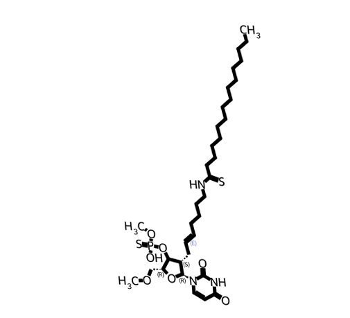 CCCCCCCCCCCCCCCC(=S)NCCCC/C=C/C[C@H]1C(OP(O)(=S)OC)[C@@H](COC)O[C@H]1n1ccc(=O)[nH]c1=O